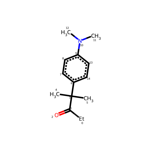 CCC(=O)C(C)(C)c1ccc(N(C)C)cc1